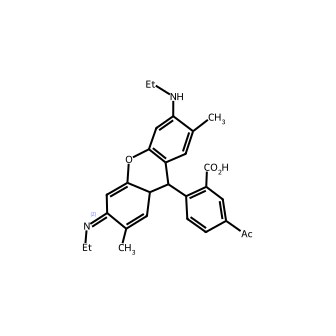 CC/N=C1/C=C2Oc3cc(NCC)c(C)cc3C(c3ccc(C(C)=O)cc3C(=O)O)C2C=C1C